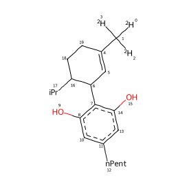 [2H]C([2H])([2H])C1=CC(c2c(O)cc(CCCCC)cc2O)C(C(C)C)CC1